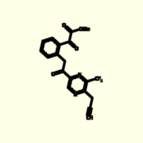 C#CCc1ncc(C(=O)Cc2ccccc2C(=O)C(=O)OC)nc1C(F)(F)F